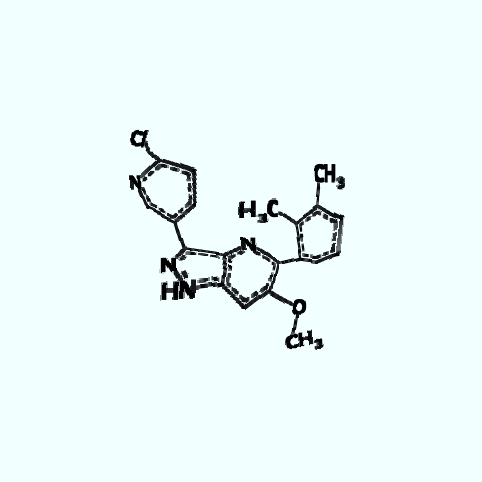 COc1cc2[nH]nc(-c3ccc(Cl)nc3)c2nc1-c1cccc(C)c1C